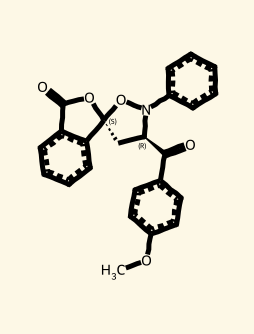 COc1ccc(C(=O)[C@H]2C[C@]3(OC(=O)c4ccccc43)ON2c2ccccc2)cc1